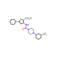 O=C(O)c1sc(-c2ccccc2)cc1NC(=O)N1CCN(c2cccc(C(F)(F)F)c2)CC1